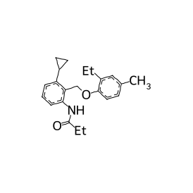 CCC(=O)Nc1cccc(C2CC2)c1COc1ccc(C)cc1CC